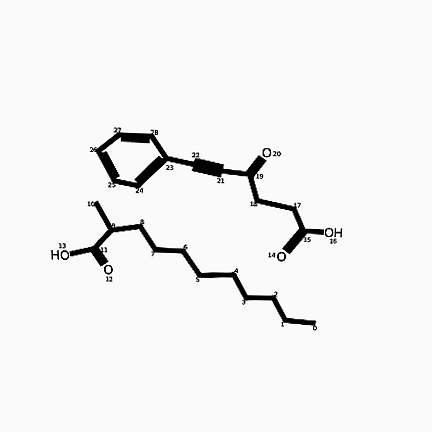 CCCCCCCCCC(C)C(=O)O.O=C(O)CCC(=O)C#Cc1ccccc1